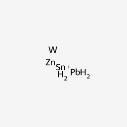 [PbH2].[SnH2].[W].[Zn]